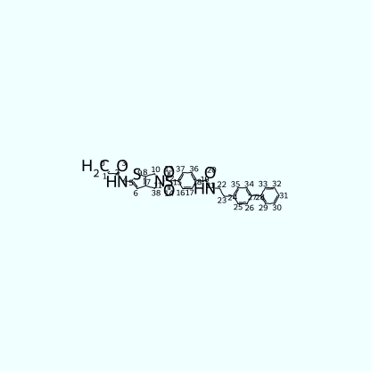 C=CC(=O)Nc1cc2c(s1)CN(S(=O)(=O)c1ccc(C(=O)NCCc3ccc(-c4ccccc4)cc3)cc1)C2